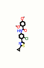 COc1ccc(C(=O)Nc2ccc(-c3csc(C4CC4)n3)c(Cl)c2)c(OC)c1